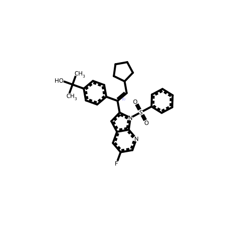 CC(C)(O)c1ccc(/C(=C\C2CCCC2)c2cc3cc(F)cnc3n2S(=O)(=O)c2ccccc2)cc1